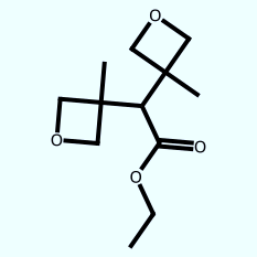 CCOC(=O)C(C1(C)COC1)C1(C)COC1